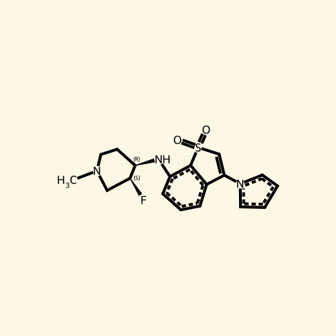 CN1CC[C@@H](Nc2cccc3c2S(=O)(=O)C=C3n2cccc2)[C@@H](F)C1